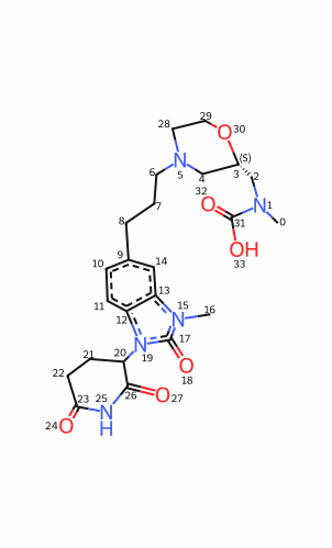 CN(C[C@@H]1CN(CCCc2ccc3c(c2)n(C)c(=O)n3C2CCC(=O)NC2=O)CCO1)C(=O)O